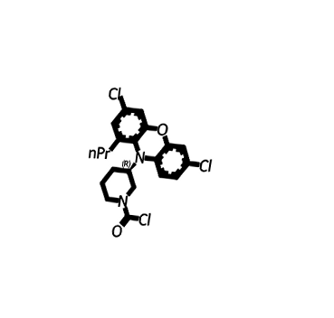 CCCc1cc(Cl)cc2c1N([C@@H]1CCCN(C(=O)Cl)C1)c1ccc(Cl)cc1O2